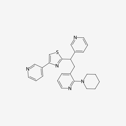 c1cncc(-c2csc(C(Cc3cccnc3N3CCCCC3)c3cccnc3)n2)c1